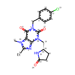 CCc1nc2c(c(=O)n(Cc3ccc(Cl)cc3)c(=O)n2C[C@@H]2CCC(=O)N2)n1C